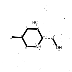 C[C@H]1CC[C@H](CO)NC1.Cl